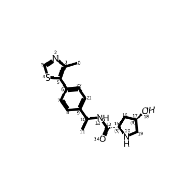 Cc1ncsc1-c1ccc(C(C)NC(=O)[C@@H]2C[C@@H](O)CN2)cc1